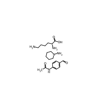 CC(=O)Nc1ccc(C=O)cc1.NCCCC[C@H](N)C(=O)O.NN1CCCCC1